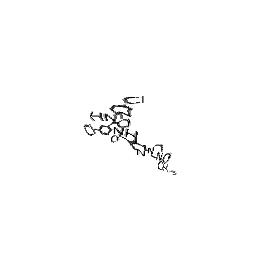 CC(=O)N1CCCN(c2ccc(C(=O)Nc3ccc(Cl)cc3C(=O)Nc3ccc(Cl)cn3)cn2)CC1